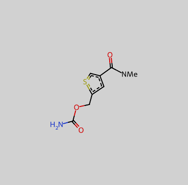 CNC(=O)c1csc(COC(N)=O)c1